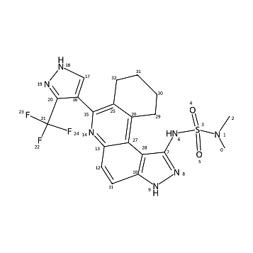 CN(C)S(=O)(=O)Nc1n[nH]c2ccc3nc(-c4c[nH]nc4C(F)(F)F)c4c(c3c12)CCCC4